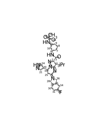 CC(C)c1c(C(=O)Nc2cccc(NS(C)(=O)=O)c2)nn2c(-c3cn[nH]c3)cc(N3Cc4ccc(F)cc4C3)nc12